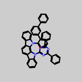 c1ccc(-c2cccc(-c3ccccc3-n3c4ccccc4c4ccc5c6ccccc6n(-c6nc(-c7ccccc7)nc(-c7ccccc7)n6)c5c43)c2)cc1